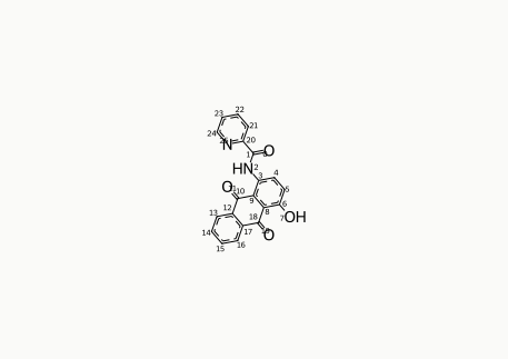 O=C(Nc1ccc(O)c2c1C(=O)c1ccccc1C2=O)c1ccccn1